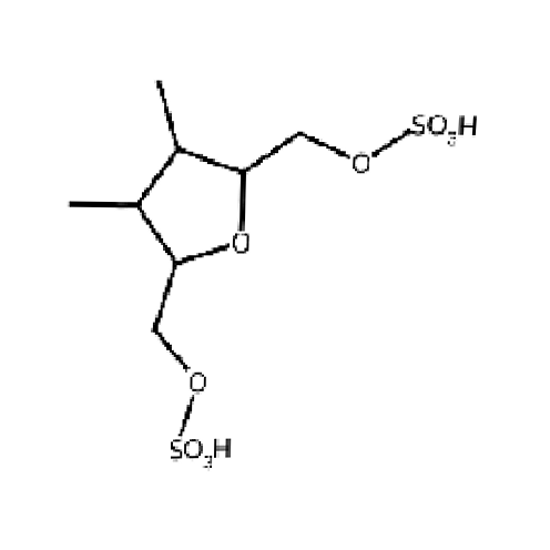 CC1C(COS(=O)(=O)O)OC(COS(=O)(=O)O)C1C